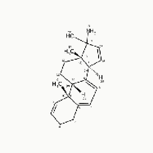 C[C@]12C=CCCC1=CC=C1[C@H]2CC[C@@]2(C)[C@H]1C=CC2(N)O